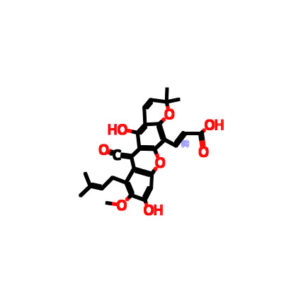 COc1c(O)cc2c(c1CC=C(C)C)C(=C=O)c1c(O)c3c(c(/C=C/C(=O)O)c1O2)OC(C)(C)C=C3